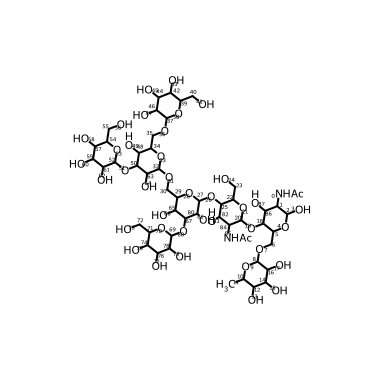 CC(=O)NC1C(O)OC(COC2OC(C)C(O)C(O)C2O)C(OC2OC(CO)C(OC3OC(COC4OC(COC5OC(CO)C(O)C(O)C5O)C(O)C(OC5OC(CO)C(O)C(O)C5O)C4O)C(O)C(OC4OC(CO)C(O)C(O)C4O)C3O)C(O)C2NC(C)=O)C1O